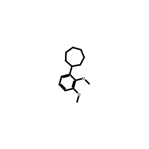 COc1cccc(C2CC[CH]CCC2)c1OC